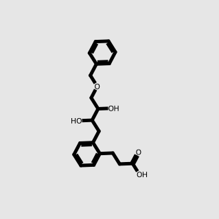 O=C(O)CCc1ccccc1CC(O)C(O)COCc1ccccc1